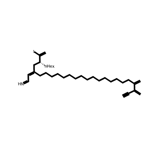 C#CC(=C)C(=C)CCCCCCCCCCCCCCCC/C(=C\C=N)C[C@@H](CCCCCC)C(=C)I